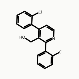 OCc1c(-c2ccccc2Cl)ccnc1-c1ccccc1Cl